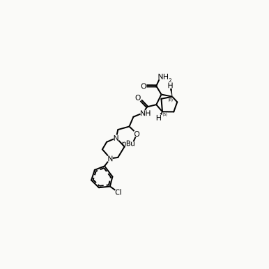 CCCCOC(CNC(=O)C1C(C(N)=O)[C@@H]2CC[C@H]1C2)CN1CCN(c2cccc(Cl)c2)CC1